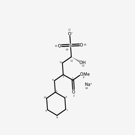 COC(=O)C(CC1CCCCC1)C[C@@H](O)S(=O)(=O)[O-].[Na+]